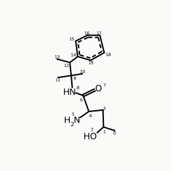 CC(O)CC(N)C(=O)NC(C)(C)C(C)c1ccccc1